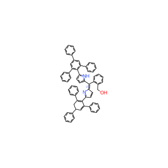 OCc1ccccc1/C(=C1\C=CC(C2=C(c3ccccc3)CC(c3ccccc3)C=C2c2ccccc2)=N1)c1ccc(-c2c(-c3ccccc3)cc(-c3ccccc3)cc2-c2ccccc2)[nH]1